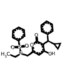 CCN(Cc1cc(O)c(C(c2ccccc2)C2CC2)c(=O)o1)S(=O)(=O)c1ccccc1